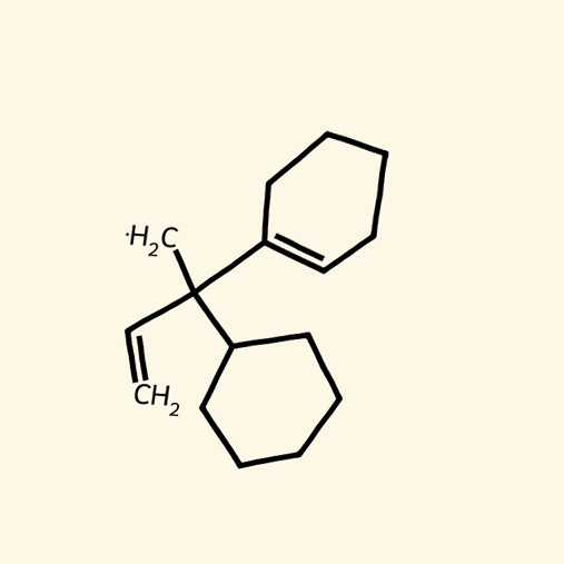 [CH2]C(C=C)(C1=CCCCC1)C1CCCCC1